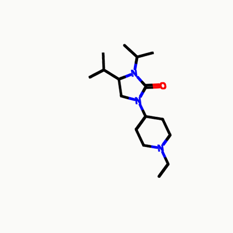 CCN1CCC(N2CC(C(C)C)N(C(C)C)C2=O)CC1